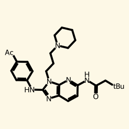 CC(=O)c1ccc(Nc2nc3ccc(NC(=O)CC(C)(C)C)nc3n2CCCN2CCCCC2)cc1